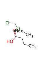 CCCC(=O)O.CCCCCCC.ClCCl